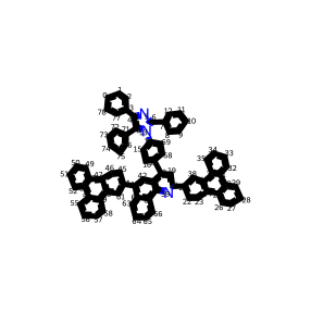 c1ccc(-c2nc(-c3ccccc3)n(-c3ccc(-c4cc(-c5ccc6c7ccccc7c7ccccc7c6c5)nc5c4cc(-c4ccc6c7ccccc7c7ccccc7c6c4)c4ccccc45)cc3)c2-c2ccccc2)cc1